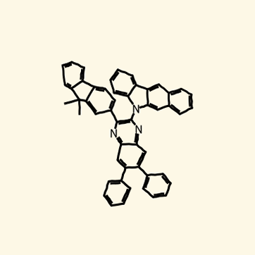 CC1(C)c2ccccc2-c2ccc(-c3nc4cc(-c5ccccc5)c(-c5ccccc5)cc4nc3-n3c4ccccc4c4cc5ccccc5cc43)cc21